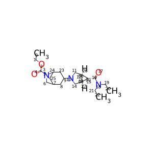 CCOC(=O)N1CC2CC(N3C[C@@H]4[C@H](C3)[C@H]4C(=O)N(CC)CC)CC1C2